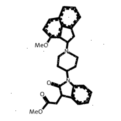 COC(=O)CC1C(=O)N(C2CCN(C3Cc4cccc5ccc(OC)c3c45)CC2)c2ccccc21